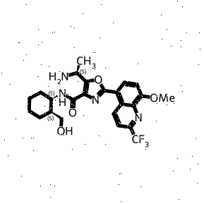 COc1ccc(-c2nc(C(=O)N[C@H]3CCCC[C@@H]3CO)c([C@H](C)N)o2)c2ccc(C(F)(F)F)nc12